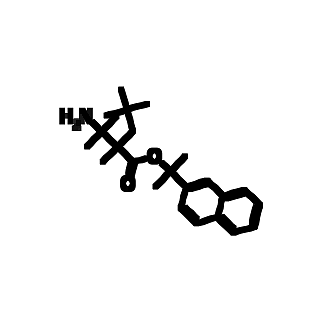 CC(C)(C)CC(C)(C(=O)OC(C)(C)c1ccc2ccccc2c1)C(C)(C)N